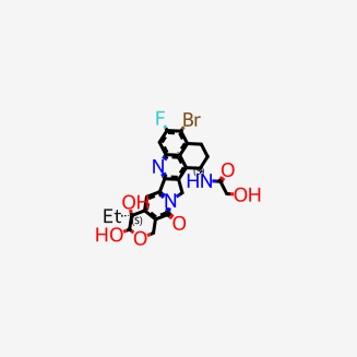 CC[C@]1(O)c2cc3n(c(=O)c2COC1O)Cc1c-3nc2cc(F)c(Br)c3c2c1[C@@H](NC(=O)CO)CC3